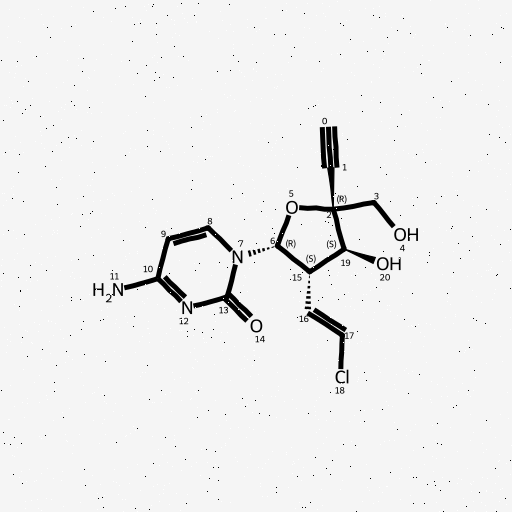 C#C[C@]1(CO)O[C@@H](n2ccc(N)nc2=O)[C@@H](C=CCl)[C@@H]1O